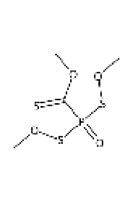 COSP(=O)(SOC)C(=S)OC